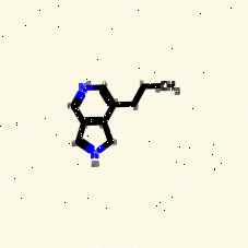 CCCc1cncc2c1CN=C2